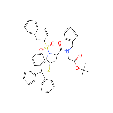 CC(C)(C)OC(=O)CN(Cc1ccccc1)C(=O)C1CC(SC(c2ccccc2)(c2ccccc2)c2ccccc2)CN1S(=O)(=O)c1ccc2ccccc2c1